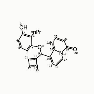 CCCc1c(O)cccc1OC(C1=CC=N1)c1cccn2c(=O)[c]cnc12